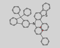 c1ccc(-c2ccc(N(c3ccc4c(c3)C(c3ccccc3)(c3ccccc3)c3ccccc3-4)c3ccc4c(sc5ccccc54)c3-c3ccccc3)cc2)cc1